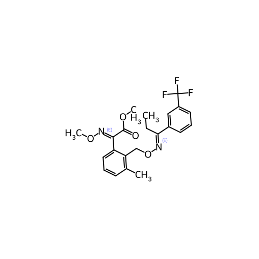 CC/C(=N\OCc1c(C)cccc1/C(=N\OC)C(=O)OC)c1cccc(C(F)(F)F)c1